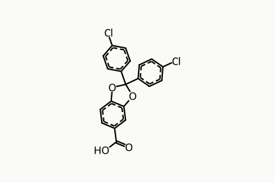 O=C(O)c1ccc2c(c1)OC(c1ccc(Cl)cc1)(c1ccc(Cl)cc1)O2